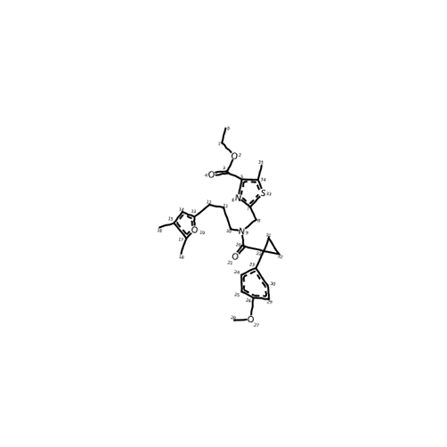 CCOC(=O)c1nc(CN(CCCc2cc(C)c(C)o2)C(=O)C2(c3ccc(OC)cc3)CC2)sc1C